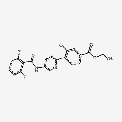 CCOC(=O)c1ccc(-c2cnc(NC(=O)c3c(F)cccc3F)cn2)c(Cl)c1